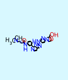 CN(C)C/C=C/C(=O)Nc1cccc(-c2nccc3cnc(Nc4ccc(N5CCOC(CO)C5)nc4)nc23)c1